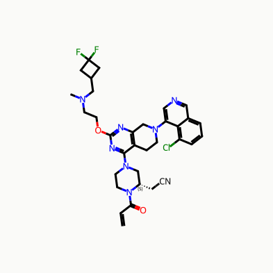 C=CC(=O)N1CCN(c2nc(OCCN(C)CC3CC(F)(F)C3)nc3c2CCN(c2cncc4cccc(Cl)c24)C3)C[C@@H]1CC#N